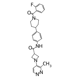 Cc1nnccc1N1CC(C(=O)Nc2ccc(C3CCN(C(=O)c4ccccc4F)CC3)cc2)C1